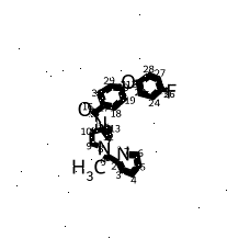 CC(c1ccccn1)N1CC2CC1CN2C(=O)c1ccc(Oc2ccc(F)cc2)cc1